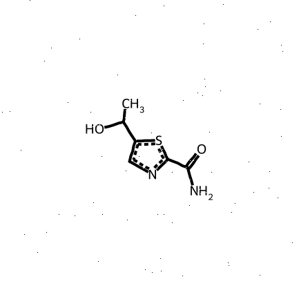 CC(O)c1cnc(C(N)=O)s1